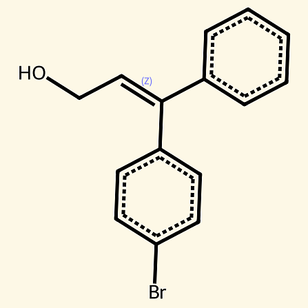 OC/C=C(/c1ccccc1)c1ccc(Br)cc1